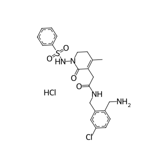 CC1=C(CC(=O)NCc2cc(Cl)ccc2CN)C(=O)N(NS(=O)(=O)c2ccccc2)CC1.Cl